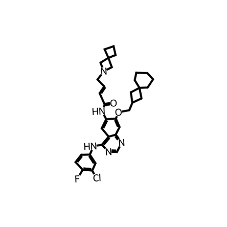 O=C(C=CCN1CC2(CCC2)C1)Nc1cc2c(Nc3ccc(F)c(Cl)c3)ncnc2cc1OCC1CC2(CCCCC2)C1